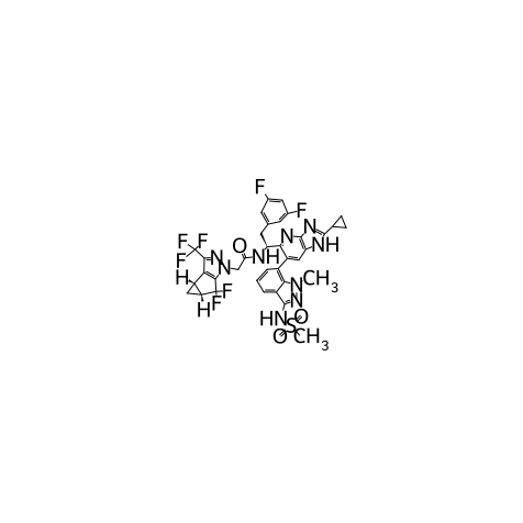 Cn1nc(NS(C)(=O)=O)c2cccc(-c3cc4[nH]c(C5CC5)nc4nc3[C@H](Cc3cc(F)cc(F)c3)NC(=O)Cn3nc(C(F)(F)F)c4c3C(F)(F)[C@@H]3C[C@H]43)c21